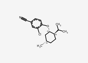 CC(C)[C@H]1CC[C@H](C)C[C@@H]1Oc1ccc(C#N)cc1Cl